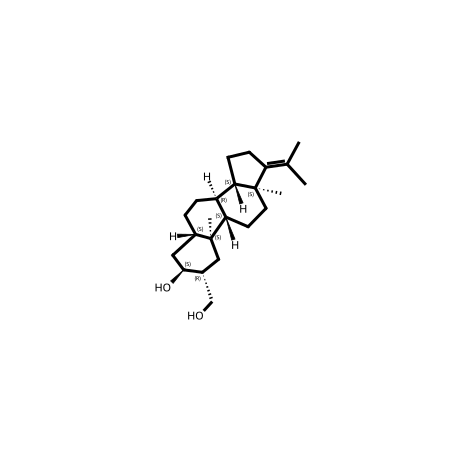 CC(C)=C1CC[C@H]2[C@@H]3CC[C@H]4C[C@H](O)[C@@H](CO)C[C@]4(C)[C@H]3CC[C@]12C